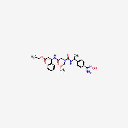 CCOC(=O)CC(NC(=O)CN(COC)C(=O)NC(C)c1ccc(/C(N)=N/O)cc1)c1ccccc1